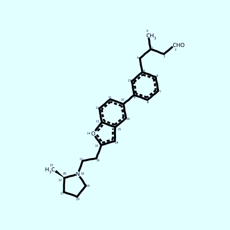 CC(CC=O)Cc1cccc(-c2ccc3oc(CCN4CCC[C@H]4C)cc3c2)c1